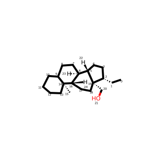 CC[C@H]1CC[C@H]2[C@@H]3CCC4CCCC[C@]4(C)[C@H]3CC[C@]12CO